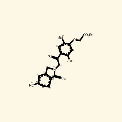 CCOC(=O)COc1cc(O)c(C(=O)CN2Cc3cc(C#N)ccc3C2=O)cc1C(C)(C)C